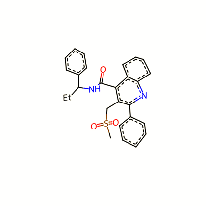 CCC(NC(=O)c1c(CS(C)(=O)=O)c(-c2ccccc2)nc2ccccc12)c1ccccc1